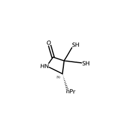 CCC[C@@H]1NC(=O)C1(S)S